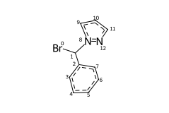 BrC(c1ccccc1)n1cccn1